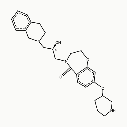 O=C1c2ccc(OC3CCCNC3)cc2OCCN1C[C@H](O)CN1CCc2ccccc2C1